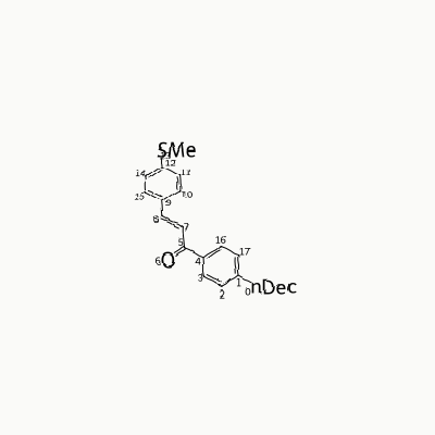 CCCCCCCCCCc1ccc(C(=O)C=Cc2ccc(SC)cc2)cc1